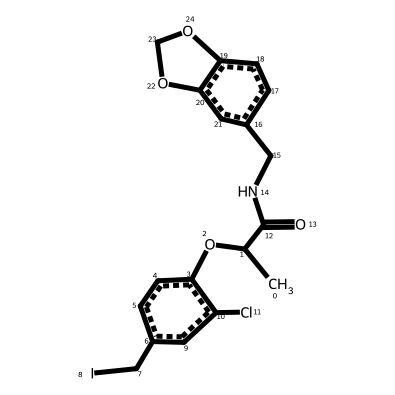 CC(Oc1ccc(CI)cc1Cl)C(=O)NCc1ccc2c(c1)OCO2